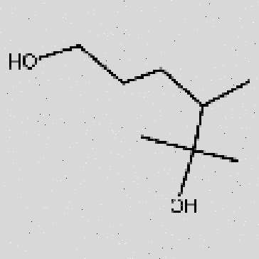 CC(CCCO)C(C)(C)O